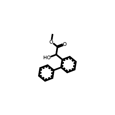 COC(=O)C(O)c1ccccc1-c1ccccc1